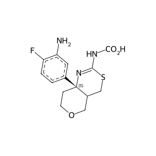 Nc1cc([C@]23CCOCC2CSC(NC(=O)O)=N3)ccc1F